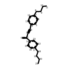 C=C(C#Cc1ccc(CCCC)cc1)c1ccc(CCCC)cc1